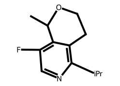 CC(C)c1ncc(F)c2c1CCOC2C